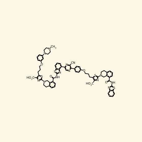 CN1CCN(c2cccc(OCCCc3sc(N4CCc5cccc(C(=O)Nc6nc7c(-c8cnc(-c9ccc(OCCCc%10sc(N%11CCc%12cccc(C(=O)Nc%13nc%14ccccc%14s%13)c%12C%11)nc%10C(=O)O)cc9)c(C#N)n8)cccc7s6)c5C4)nc3C(=O)O)c2)CC1